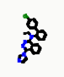 CCN(c1ccccc1-c1ccc(Cl)cc1)c1nnc(-n2ccnc2)c2ccccc12